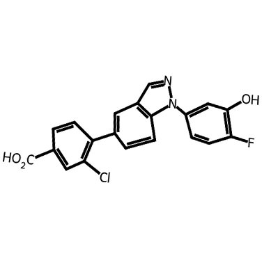 O=C(O)c1ccc(-c2ccc3c(cnn3-c3ccc(F)c(O)c3)c2)c(Cl)c1